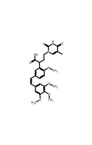 COc1ccc(/C=C\c2cc(OC)c(OC)c(OC)c2)cc1C(CCn1cc(F)c(=O)[nH]c1=O)C(=O)O